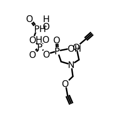 C#COCN(COC#C)CP(=O)(O)OP(=O)(O)O[PH](=O)O